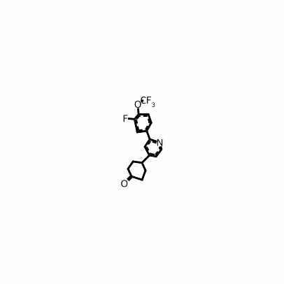 O=C1CCC(c2ccnc(-c3ccc(OC(F)(F)F)c(F)c3)c2)CC1